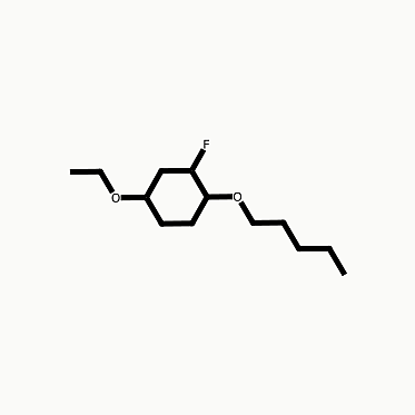 CCCCCOC1CCC(OCC)CC1F